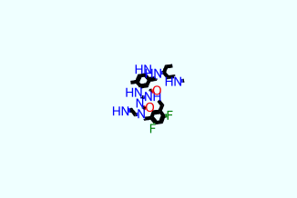 CCc1cc(CN(CC=N)C(=O)/N=C(\NC=O)NC2=C/C(=C/NC(CC)CCNC)C(=N)C=C2C)c(F)cc1F